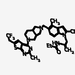 C=C(Cn1c(C#N)cc2c(C)c(CN3CC4CCN(c5nc(C)nc6sc(CC(F)(F)F)cc56)CC4C3)ccc21)NC(=O)CC